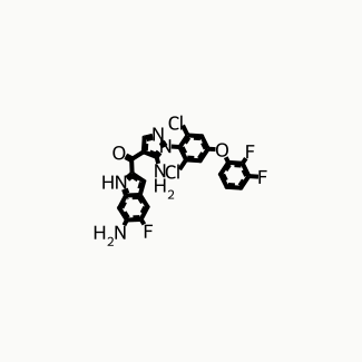 Nc1cc2[nH]c(C(=O)c3cnn(-c4c(Cl)cc(Oc5cccc(F)c5F)cc4Cl)c3N)cc2cc1F